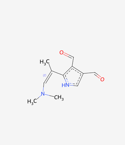 C/C(=C/N(C)C)c1[nH]cc(C=O)c1C=O